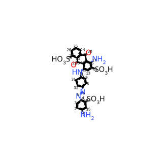 Nc1ccc(N=Nc2ccc(Nc3cc(S(=O)(=O)O)c(N)c4c3C(=O)c3c(cccc3S(=O)(=O)O)C4=O)cc2)c(S(=O)(=O)O)c1